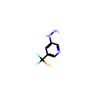 NNc1cncc(C(F)(F)P)c1